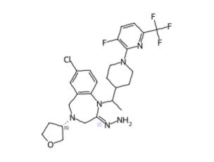 CC(C1CCN(c2nc(C(F)(F)F)ccc2F)CC1)N1/C(=N\N)CN([C@H]2CCOC2)Cc2cc(Cl)ccc21